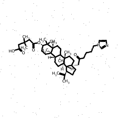 C=C(C)[C@@H]1CC[C@]2(CC(=O)CCCCn3ccnc3)CC[C@]3(C)[C@H](CC[C@@H]4[C@@]5(C)CC[C@H](OC(=O)CC(C)(C)CC(=O)O)C(C)(C)[C@@H]5CC[C@]43C)[C@@H]12